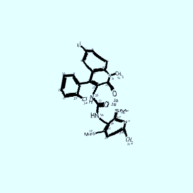 CCc1ccc2c(c1)c(-c1ccccc1Cl)c(NC(=O)Nc1c(SC)cc(C)nc1SC)c(=O)n2C